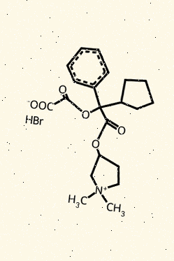 Br.C[N+]1(C)CCC(OC(=O)C(OC(=O)C(=O)[O-])(c2ccccc2)C2CCCC2)C1